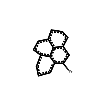 CCc1cc2cccc3ccc4[c]ccc1c4c32